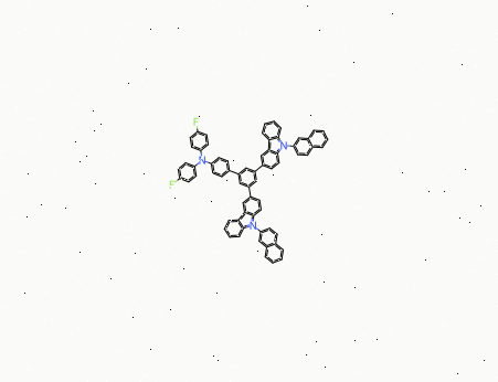 Fc1ccc(N(c2ccc(F)cc2)c2ccc(-c3cc(-c4ccc5c(c4)c4ccccc4n5-c4ccc5ccccc5c4)cc(-c4ccc5c(c4)c4ccccc4n5-c4ccc5ccccc5c4)c3)cc2)cc1